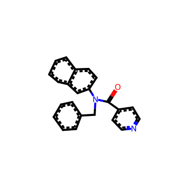 O=C(c1ccncc1)N(Cc1ccccc1)c1ccc2ccccc2c1